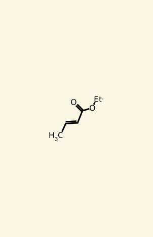 C[CH]OC(=O)C=CC